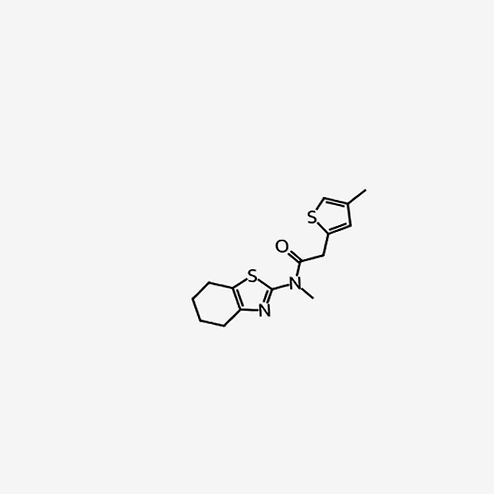 Cc1csc(CC(=O)N(C)c2nc3c(s2)CCCC3)c1